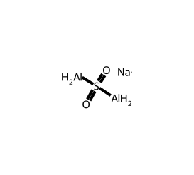 O=[S](=O)([AlH2])[AlH2].[Na]